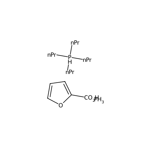 CCC[PH](CCC)(CCC)CCC.O=C(O)c1ccco1.P